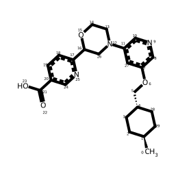 C[C@H]1CC[C@H](COc2cncc(N3CCOC(c4ccc(C(=O)O)cn4)C3)c2)CC1